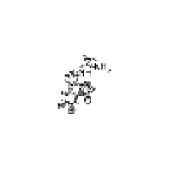 NCC1(CNc2nonc2-c2noc(=O)n2-c2ccc(F)c(Br)c2)CC1